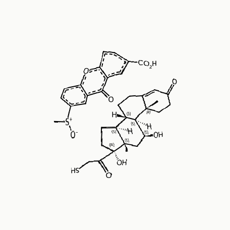 C[C@]12CCC(=O)C=C1CC[C@@H]1[C@@H]2[C@@H](O)C[C@@]2(C)[C@H]1CC[C@]2(O)C(=O)CS.C[S+]([O-])c1ccc2oc3ccc(C(=O)O)cc3c(=O)c2c1